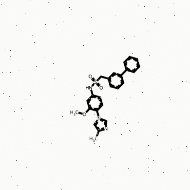 COc1cc(NS(=O)(=O)Cc2cccc(-c3ccccc3)c2)ccc1-n1cnc(C)c1